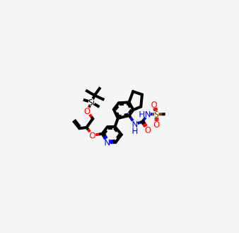 C=CC(CO[Si](C)(C)C(C)(C)C)Oc1cc(-c2ccc3c(c2NC(=O)NS(C)(=O)=O)CCC3)ccn1